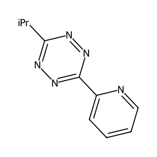 CC(C)c1nnc(-c2ccccn2)nn1